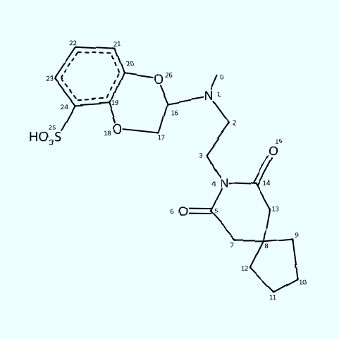 CN(CCN1C(=O)CC2(CCCC2)CC1=O)C1COc2c(cccc2S(=O)(=O)O)O1